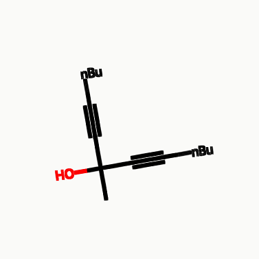 CCCCC#CC(C)(O)C#CCCCC